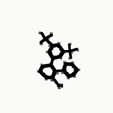 CC(C)(C)c1cc(-c2cccc(O)c2-c2ccccc2)cc(C(C)(C)C)c1